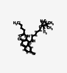 CCCCC(=O)Nc1c(Cl)nc2ccc(Br)cc2c1NCCCCO[Si](C)(C)C(C)(C)C